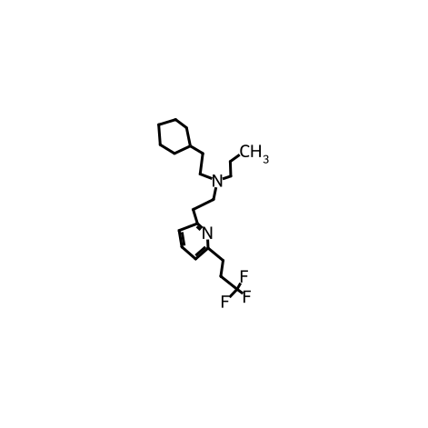 CCCN(CCc1cccc(CCC(F)(F)F)n1)CCC1CCCCC1